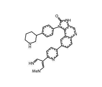 CN/C=C(\C=N)c1ccc(-c2ccc3ncc4[nH]c(=O)n(-c5ccc(C6CCCNC6)cc5)c4c3c2)cn1